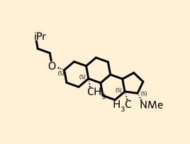 CN[C@H]1CCC2C3CCC4C[C@@H](OCCC(C)C)CC[C@]4(C)C3CC[C@@]21C